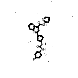 O=C(Nc1ccc(F)cc1)Nc1ccc(-c2cc(C(=O)Nc3ccccn3)c3ncccc3n2)cc1